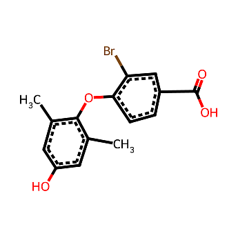 Cc1cc(O)cc(C)c1Oc1ccc(C(=O)O)cc1Br